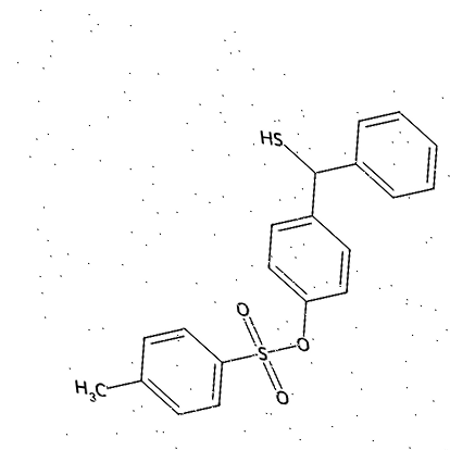 Cc1ccc(S(=O)(=O)Oc2ccc(C(S)c3ccccc3)cc2)cc1